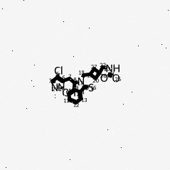 Cn1ncc(Cl)c1CC1c2ccccc2C(=S)N1CC1CC2(CNC(=O)O2)C1